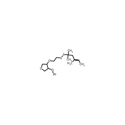 C/C=C(\C)CC(C)(C)SSCCOC1COCC1OC(C)C